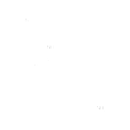 CC(=O)CCNC(=O)CCc1ccc(N)cc1